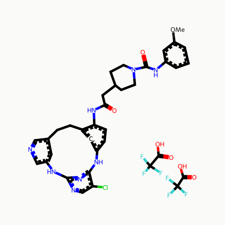 COc1cccc(NC(=O)N2CCC(CC(=O)Nc3ccc4cc3CCc3cncc(c3)Nc3ncc(Cl)c(n3)N4)CC2)c1.O=C(O)C(F)(F)F.O=C(O)C(F)(F)F